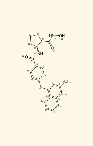 Cc1cc(Cc2ccc(C(=O)N[C@H]3CCC[C@H]3C(=O)NO)cc2)c2ccccc2n1